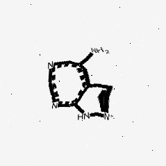 Nc1ncnc2c1C=[N+]N2